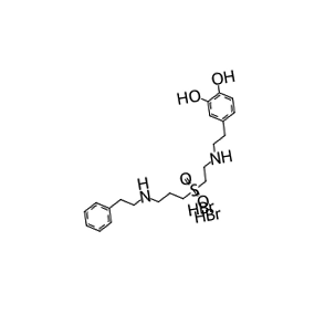 Br.Br.O=S(=O)(CCCNCCc1ccccc1)CCNCCc1ccc(O)c(O)c1